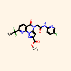 BC(F)(F)c1ccc2c(=O)n(CC(=O)Nc3ccc(F)cn3)c3cc(C(=O)OC)nn3c2n1